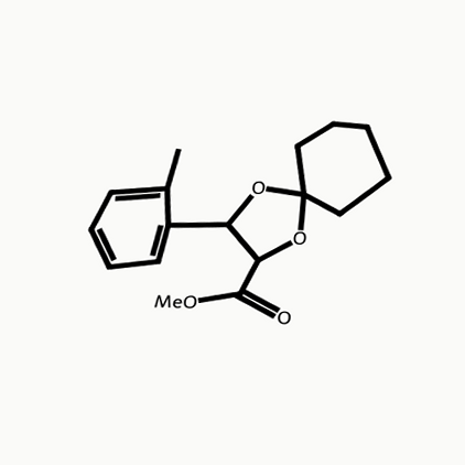 COC(=O)C1OC2(CCCCC2)OC1c1ccccc1C